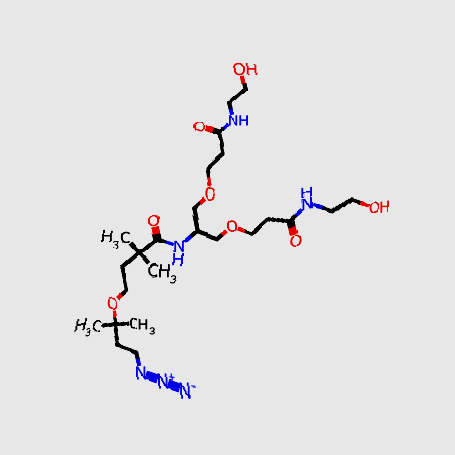 CC(C)(CCN=[N+]=[N-])OCCC(C)(C)C(=O)NC(COCCC(=O)NCCO)COCCC(=O)NCCO